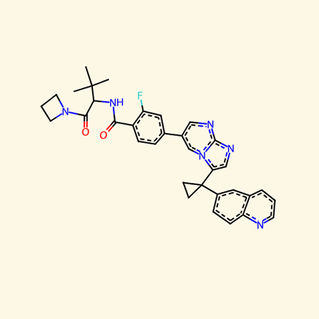 CC(C)(C)C(NC(=O)c1ccc(-c2cnc3ncc(C4(c5ccc6ncccc6c5)CC4)n3c2)cc1F)C(=O)N1CCC1